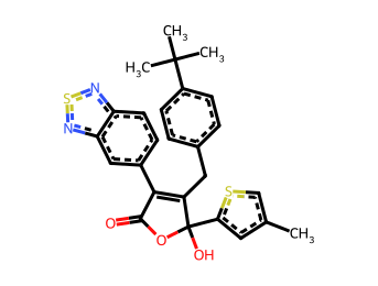 Cc1csc(C2(O)OC(=O)C(c3ccc4nsnc4c3)=C2Cc2ccc(C(C)(C)C)cc2)c1